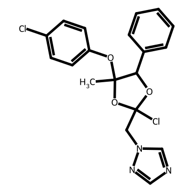 CC1(Oc2ccc(Cl)cc2)OC(Cl)(Cn2cncn2)OC1c1ccccc1